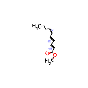 CCC\C=C/C=C/C=C/C(=O)OC